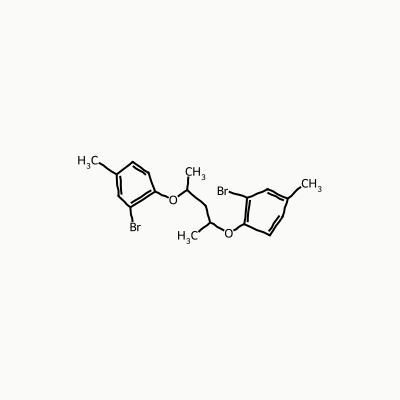 Cc1ccc(OC(C)CC(C)Oc2ccc(C)cc2Br)c(Br)c1